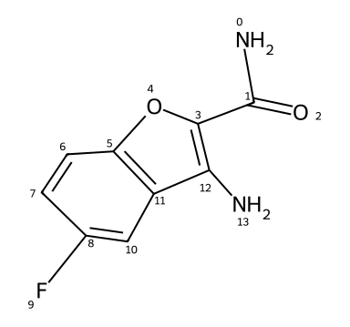 NC(=O)c1oc2ccc(F)cc2c1N